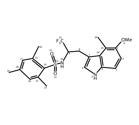 COc1ccc2[nH]cc(CC(NS(=O)(=O)c3c(C)cc(C)cc3C)C(F)(F)F)c2c1C